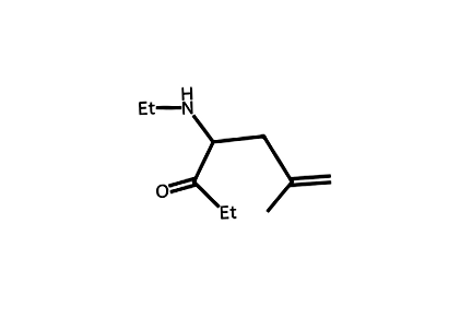 C=C(C)CC(NCC)C(=O)CC